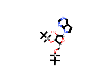 CC(C)(C)[Si](C)(C)OC[C@H]1O[C@@H](n2ccc3cncnc32)[C@H](O)[C@@H]1O[Si](C)(C)C(C)(C)C